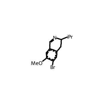 COc1cc2c(cc1Br)CC(C(C)C)N=C2